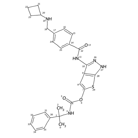 CC(C)(NC(=O)Oc1cc2c(NC(=O)c3ccc(CNC4CCC4)cc3)n[nH]c2s1)c1ccccc1